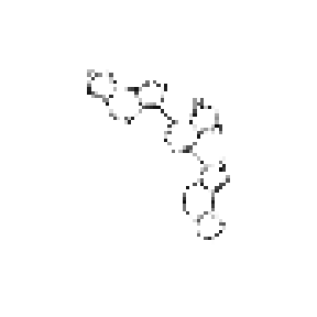 c1cc(-c2scc3c2ccc2cscc23)c2nsnc2c1-c1scc2c1ccc1cscc12